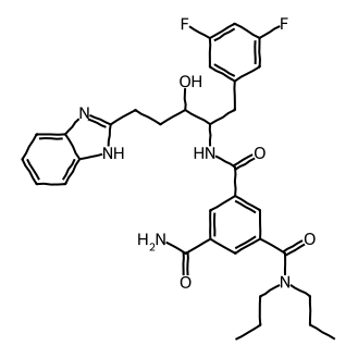 CCCN(CCC)C(=O)c1cc(C(N)=O)cc(C(=O)NC(Cc2cc(F)cc(F)c2)C(O)CCc2nc3ccccc3[nH]2)c1